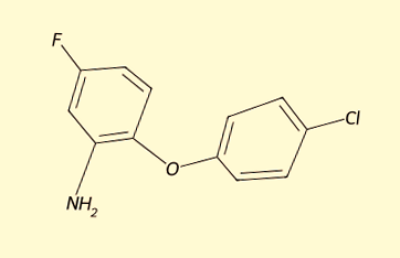 Nc1cc(F)ccc1Oc1ccc(Cl)cc1